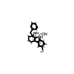 Cl.NC1(Cc2ccccc2)CCCc2c1[nH]c1ccc(I)cc21